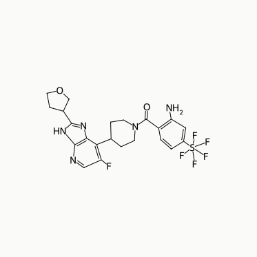 Nc1cc(S(F)(F)(F)(F)F)ccc1C(=O)N1CCC(c2c(F)cnc3[nH]c(C4CCOC4)nc23)CC1